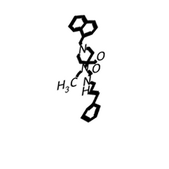 CCN(C(=O)NC/C=C/c1ccccc1)C1(C=O)CCN(Cc2cccc3ccccc23)CC1